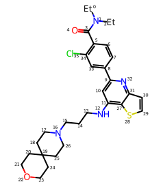 CCN(CC)C(=O)c1ccc(-c2cc(NCCCN3CCC4(CCOCC4)CC3)c3sccc3n2)cc1Cl